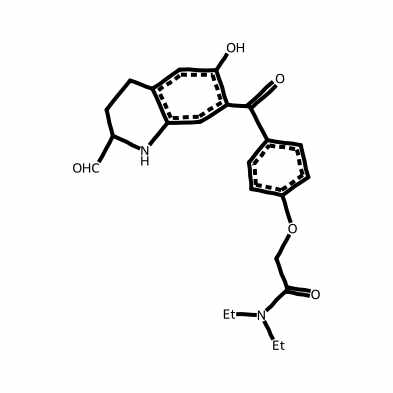 CCN(CC)C(=O)COc1ccc(C(=O)c2cc3c(cc2O)CCC(C=O)N3)cc1